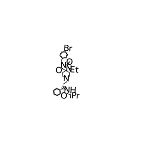 CCN1C(=O)N(Cc2ccc(Br)cc2)C(=O)C12CCN(CC[C@H](NC(=O)C(C)C)c1ccccc1)CC2